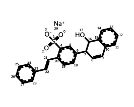 O=S(=O)([O-])c1cc(C2C=Cc3ccccc3C2O)ccc1C=Cc1ccccc1.[Na+]